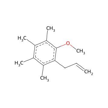 C=CCc1c(C)c(C)c(C)c(C)c1OC